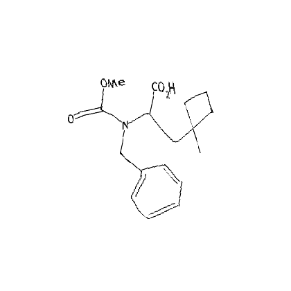 COC(=O)N(Cc1ccccc1)C(CC1(C)CCC1)C(=O)O